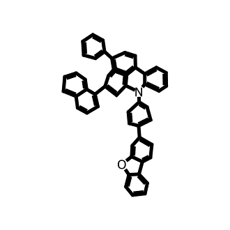 c1ccc(-c2ccc(-c3ccccc3N(c3ccc(-c4ccc5c(c4)oc4ccccc45)cc3)c3cccc(-c4cccc5ccccc45)c3)cc2)cc1